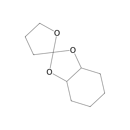 C1CCC2OC3(CCCO3)OC2C1